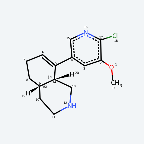 COc1cc(C2=CCC[C@H]3CCNC[C@@H]23)cnc1Cl